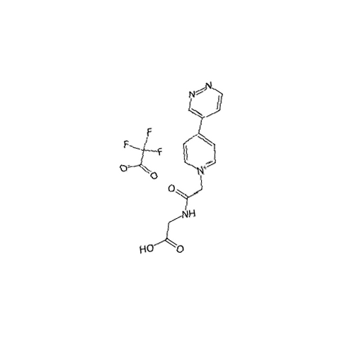 O=C(O)CNC(=O)C[n+]1ccc(-c2ccnnc2)cc1.O=C([O-])C(F)(F)F